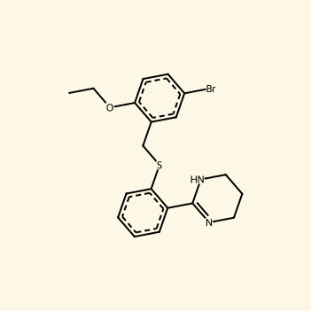 CCOc1ccc(Br)cc1CSc1ccccc1C1=NCCCN1